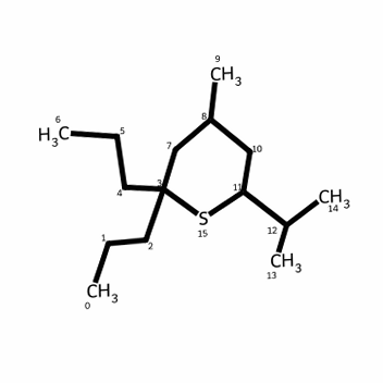 CCCC1(CCC)CC(C)CC(C(C)C)S1